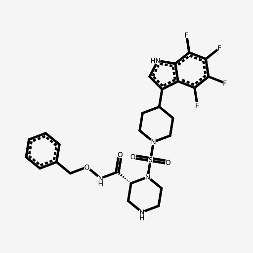 O=C(NOCc1ccccc1)[C@H]1CNCCN1S(=O)(=O)N1CCC(c2c[nH]c3c(F)c(F)c(F)c(F)c23)CC1